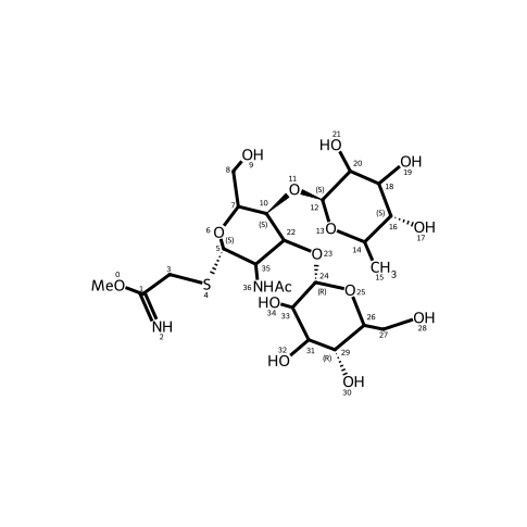 COC(=N)CS[C@@H]1OC(CO)[C@@H](O[C@@H]2OC(C)[C@@H](O)C(O)C2O)C(O[C@@H]2OC(CO)[C@H](O)C(O)C2O)C1NC(C)=O